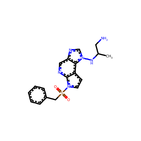 CC(CN)Nn1cnc2cnc3c(ccn3S(=O)(=O)Cc3ccccc3)c21